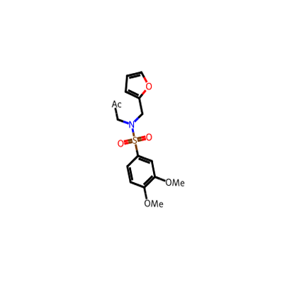 COc1ccc(S(=O)(=O)N(CC(C)=O)Cc2ccco2)cc1OC